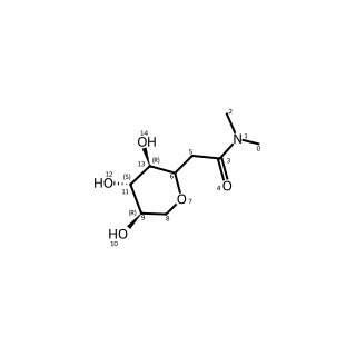 CN(C)C(=O)CC1OC[C@@H](O)[C@H](O)[C@H]1O